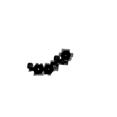 O=Cc1ccc(-c2cccc(CNC(=O)Nc3ccccc3)c2)cc1